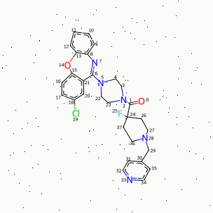 O=C(N1CCN(C2=Nc3ccccc3Oc3ccc(Cl)cc32)CC1)C1(F)CCN(Cc2ccncc2)CC1